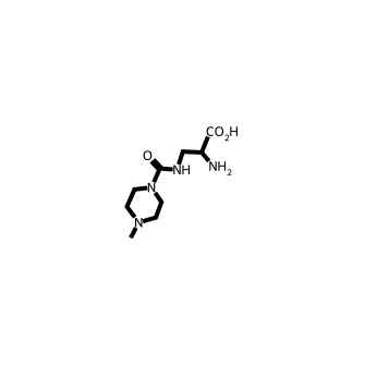 CN1CCN(C(=O)NCC(N)C(=O)O)CC1